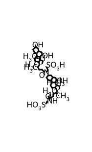 C[C@H](CCC(=O)N(CCS(=O)(=O)O)[C@@H]1CC[C@@]2(C)C(C1)C[C@H](O)[C@H]1C3CC[C@H]([C@H](C)CCC(=O)NCCS(=O)(=O)O)[C@@]3(C)CC[C@@H]12)[C@H]1CCC2[C@@H]3[C@@H](O)CC4C[C@H](O)CC[C@]4(C)[C@H]3CC[C@@]21C